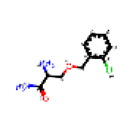 NC(=O)C(N)COCc1ccccc1Cl